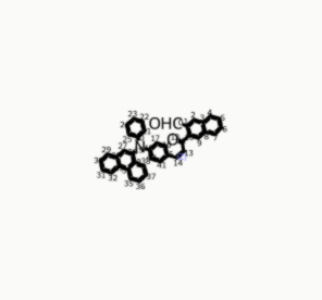 O=Cc1cc2ccccc2cc1C(=O)/C=C\c1ccc(N(c2ccccc2)c2cc3ccccc3c3ccccc23)cc1